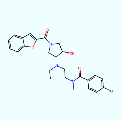 CCN(CCN(C)C(=O)c1ccc(Cl)cc1)[C@@H]1CN(C(=O)c2cc3ccccc3o2)C[C@H]1O